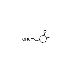 CC1CCC(CCC=O)CC1=O